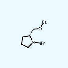 CCOC[C@H]1CCCN1C(C)C